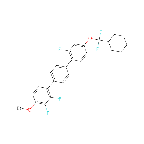 CCOc1ccc(-c2ccc(-c3ccc(OC(F)(F)C4CCCCC4)cc3F)cc2)c(F)c1F